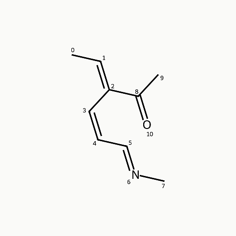 C\C=C(/C=C\C=N\C)C(C)=O